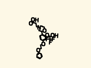 O=C(O)C(F)(F)F.O=C(O)CCN1CCOC(c2ccc(OCCOc3ccccc3)cc2)C1